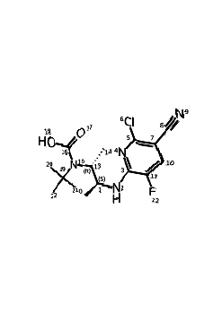 C[C@H](Nc1nc(Cl)c(C#N)cc1F)[C@@H](C)N(C(=O)O)C(C)(C)C